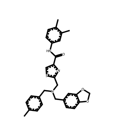 Cc1ccc(CN(Cc2ccc3c(c2)OCO3)Cc2nc(C(=O)Nc3ccc(C)c(C)c3)cs2)cc1